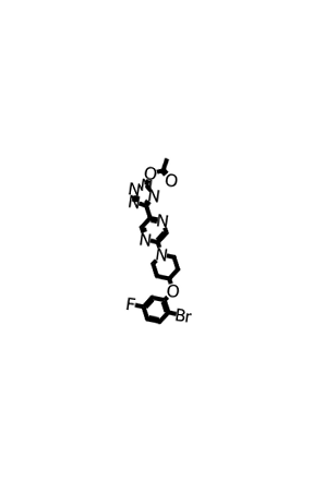 CC(=O)On1nnc(-c2cnc(N3CCC(Oc4cc(F)ccc4Br)CC3)cn2)n1